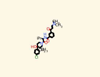 CC(C)C(NC(=O)c1cccc(C(=O)C=CN(C)C)c1)C(=O)N1CCC(O)(c2ccc(Cl)cc2)C(C)(C)C1